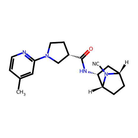 Cc1ccnc(N2CC[C@H](C(=O)N[C@@H]3C[C@@H]4CC[C@H]3N4C#N)C2)c1